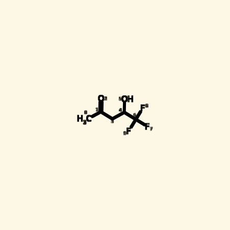 CC(=O)CC(O)C(F)(F)F